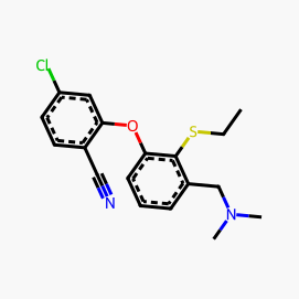 CCSc1c(CN(C)C)cccc1Oc1cc(Cl)ccc1C#N